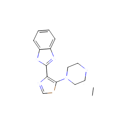 CC[C@@H]1CN(c2scnc2-c2nc3ccccc3[nH]2)CCN1